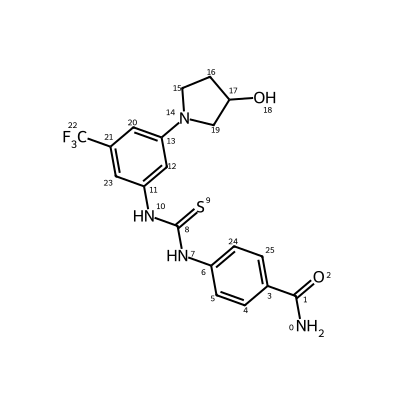 NC(=O)c1ccc(NC(=S)Nc2cc(N3CCC(O)C3)cc(C(F)(F)F)c2)cc1